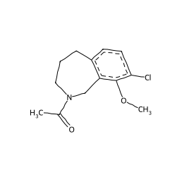 COc1c(Cl)ccc2c1CN(C(C)=O)CCC2